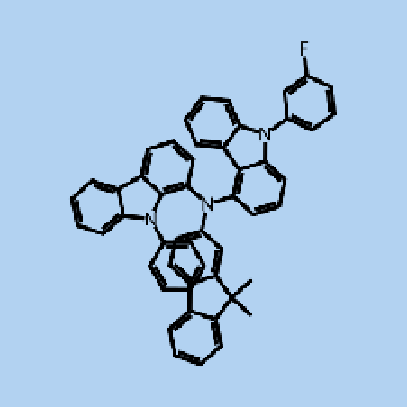 CC1(C)c2ccccc2-c2ccc(N(c3cccc4c3c3ccccc3n4-c3cccc(F)c3)c3cccc4c5ccccc5n(-c5ccccc5)c34)cc21